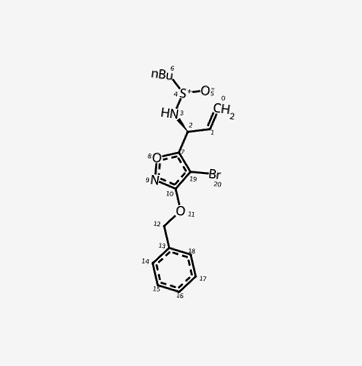 C=C[C@H](N[S+]([O-])CCCC)c1onc(OCc2ccccc2)c1Br